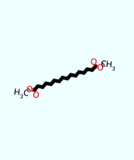 COC(=O)CCCCCCCCCCCCCCC(=O)OC